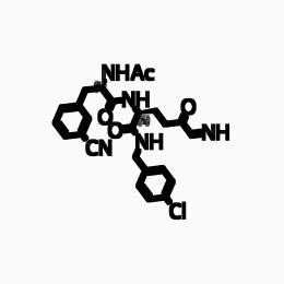 CC(=O)N[C@@H](Cc1cccc(C#N)c1)C(=O)N[C@@H](CCC(=O)C=N)C(=O)NCc1ccc(Cl)cc1